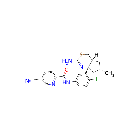 C[C@H]1C[C@H]2CSC(N)=N[C@@]2(c2cc(NC(=O)c3ccc(C#N)cn3)ccc2F)C1